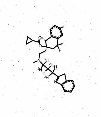 [2H]C([2H])(C1=Nc2ccccc2C1)C([2H])([2H])C([2H])([2H])N(C)CC[C@@]1(OC(=O)C2CC2)CC(F)(F)c2cc(F)ccc2[C@@H]1C(C)C